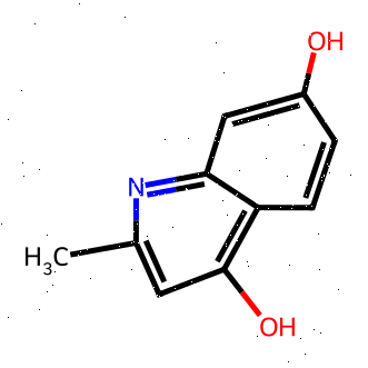 Cc1cc(O)c2ccc(O)cc2n1